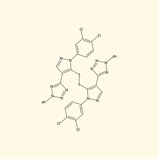 CC(C)n1nnc(-c2cnn(-c3ccc(Cl)c(Cl)c3)c2SSc2c(-c3nnn(C(C)C)n3)cnn2-c2ccc(Cl)c(Cl)c2)n1